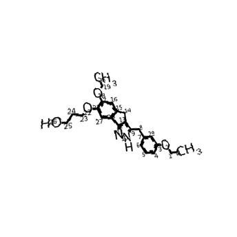 CCOc1cccc(Cc2[nH]nc3c2Cc2cc(OCC)c(OCCCO)cc2-3)c1